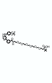 CC(C)(C)N(CCOCCOCCOCCOCCOCCOCCNC(=O)c1cccc(-c2cc(Nc3ccc(OC(F)(F)F)cc3)ncn2)c1)C(=O)O